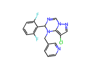 Fc1cccc(F)c1C1N=Cn2ncc(Cl)c2N1Cc1cccnc1